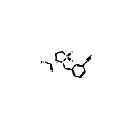 N#Cc1cccc(CN2[C@H](C(=O)O)CCS2(=O)=O)c1